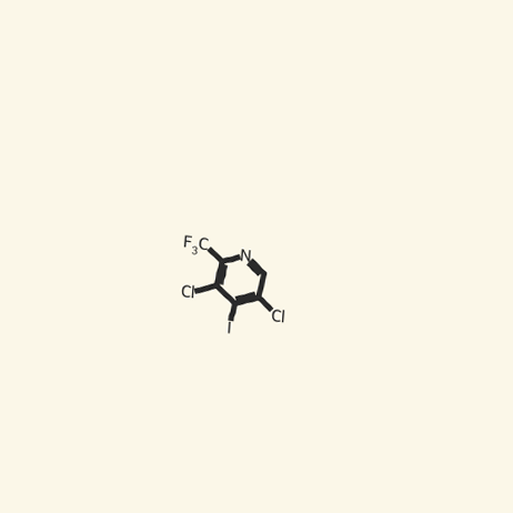 FC(F)(F)c1ncc(Cl)c(I)c1Cl